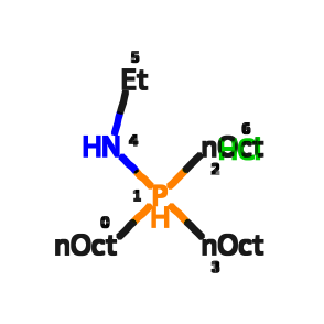 CCCCCCCC[PH](CCCCCCCC)(CCCCCCCC)NCC.Cl